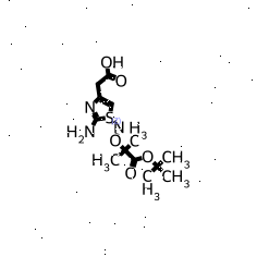 CC(C)(C)OC(=O)C(C)(C)O/N=S1/C=C(CC(=O)O)N=C1N